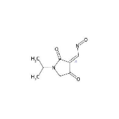 CC(C)N1CC(=O)/C(=C/N=O)C1=O